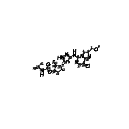 COCc1cn2c(Nc3cc([C@@H]4CC[C@H](OC(=O)NC(C)C)[C@H]4F)[nH]n3)ncc(Cl)c2n1